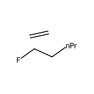 C=C.CCCCCF